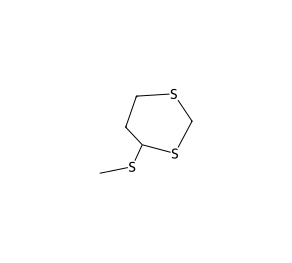 CSC1CCSCS1